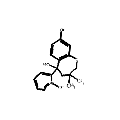 CC1(C)COc2cc(Br)ccc2C(O)(c2cccc[n+]2[O-])C1